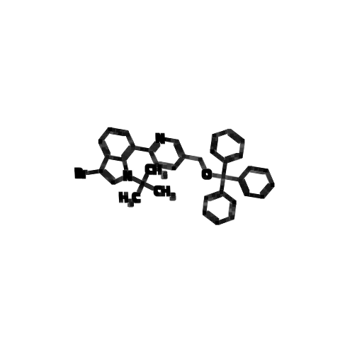 CC(C)(C)n1cc(Br)c2cccc(-c3ccc(COC(c4ccccc4)(c4ccccc4)c4ccccc4)cn3)c21